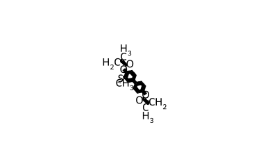 C=C(C)C(=O)Oc1ccc(-c2ccc(OC(=O)C(=C)C)c(SC)c2)cc1